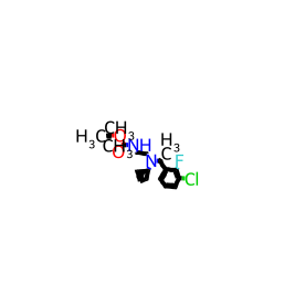 CC(c1cccc(Cl)c1F)N(CCNC(=O)OC(C)(C)C)C12CC(C1)C2